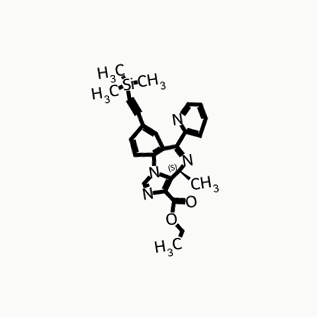 CCOC(=O)c1ncn2c1[C@H](C)N=C(c1ccccn1)c1cc(C#C[Si](C)(C)C)ccc1-2